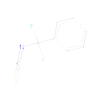 FC(F)(N=C=S)c1ccccc1